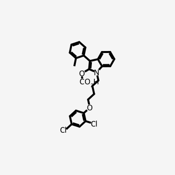 Cc1ccccc1-c1c(OC(=O)O)n(CCCCOc2ccc(Cl)cc2Cl)c2ccccc12